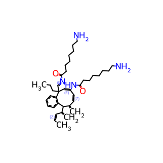 C=C(/C=C\C)C1C(=C)/C=C\C(NC(=O)CCCCCCCN)=C/C(/C=N/C(=O)CCCCCCCN)(CCC)c2ccccc21